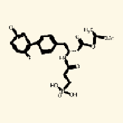 CC(=O)OC(C)OC(=O)C[C@@H](Cc1ccc(-c2cc(Cl)ccc2F)cc1)NC(=O)CCP(=O)(O)O